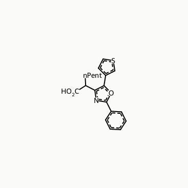 CCCCCC(C(=O)O)c1nc(-c2ccccc2)oc1-c1ccsc1